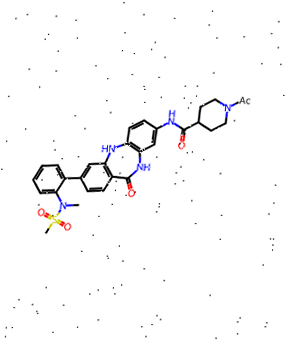 CC(=O)N1CCC(C(=O)Nc2ccc3c(c2)NC(=O)c2ccc(-c4ccccc4N(C)S(C)(=O)=O)cc2N3)CC1